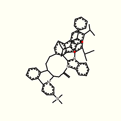 C=C1CC2C(CCc3ccc4c(oc5cc(C(C)C)ccc54)c3-c3n(-c4c(C(C)C)cc(-c5ccccc5)cc4C(C)C)c4ccccc4[n+]31)c1ccccc1-c1ccc([Si](C)(C)C)c[n+]12